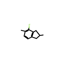 Cc1ccc2c(c1F)CC(C)C2